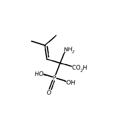 CC(C)=CC(N)(C(=O)O)P(=O)(O)O